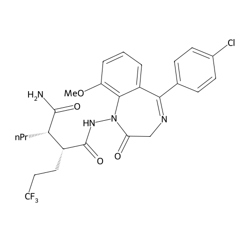 CCC[C@H](C(N)=O)[C@@H](CCC(F)(F)F)C(=O)NN1C(=O)CN=C(c2ccc(Cl)cc2)c2cccc(OC)c21